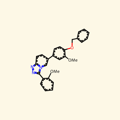 COc1cc(-c2ccc3nnc(-c4ccccc4OC)n3c2)ccc1OCc1ccccc1